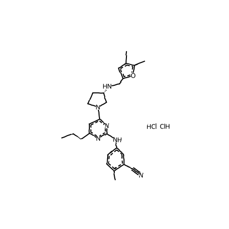 CCCc1cc(N2CC[C@H](NCc3cc(C)c(C)o3)C2)nc(Nc2ccc(C)c(C#N)c2)n1.Cl.Cl